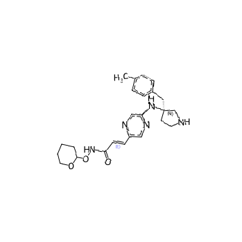 Cc1ccc(C[C@@]2(Nc3cnc(/C=C/C(=O)NOC4CCCCO4)cn3)CCNC2)cc1